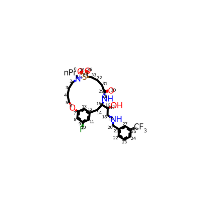 CCCN1CCCCOc2cc(F)cc(c2)CC(C(O)CNCc2cccc(C(F)(F)F)c2)NC(=O)CCCS1(=O)=O